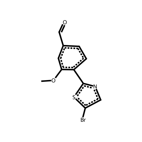 COc1cc(C=O)ccc1-c1ncc(Br)s1